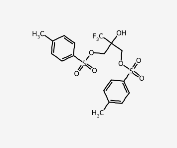 Cc1ccc(S(=O)(=O)OCC(O)(COS(=O)(=O)c2ccc(C)cc2)C(F)(F)F)cc1